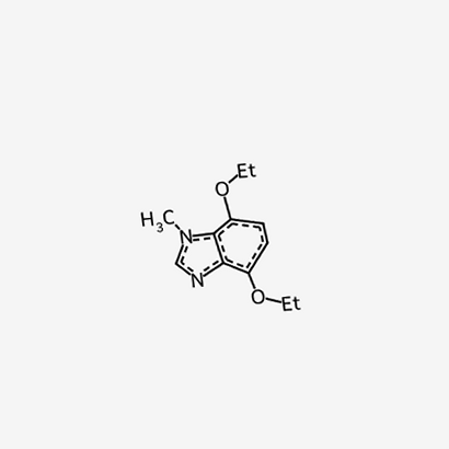 CCOc1ccc(OCC)c2c1ncn2C